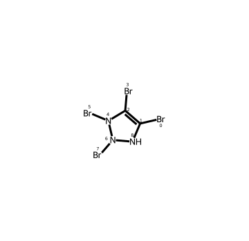 BrC1=C(Br)N(Br)N(Br)N1